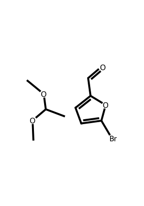 COC(C)OC.O=Cc1ccc(Br)o1